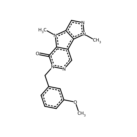 COc1cccc(Cn2ncc3c4c(cnn4C)n(C)c3c2=O)c1